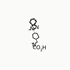 CN(C[C@H]1CC[C@H](c2nc3ccccc3n2C)CC1)C(=O)O